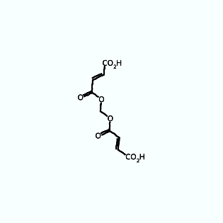 O=C(O)C=CC(=O)OCOC(=O)C=CC(=O)O